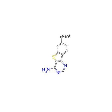 CCCCCc1ccc2c(c1)sc1c(N)ncnc12